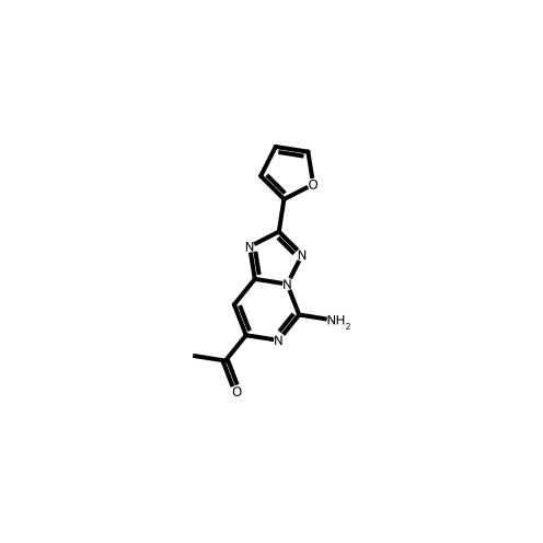 CC(=O)c1cc2nc(-c3ccco3)nn2c(N)n1